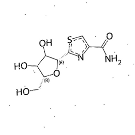 NC(=O)c1csc([C@@H]2O[C@H](CO)C(O)C2O)n1